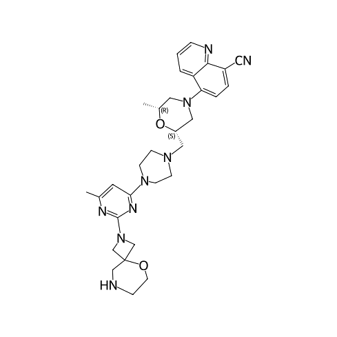 Cc1cc(N2CCN(C[C@H]3CN(c4ccc(C#N)c5ncccc45)C[C@@H](C)O3)CC2)nc(N2CC3(CNCCO3)C2)n1